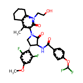 COc1cc(F)c([C@@H]2CN(c3c(C)c4c(n(CCO)c3=O)CCCC4)C(=O)C2NC(=O)c2ccc(OC(F)F)cc2)c(F)c1